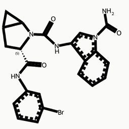 NC(=O)n1cc(NC(=O)N2C3CC3C[C@H]2C(=O)Nc2cccc(Br)c2)c2ccccc21